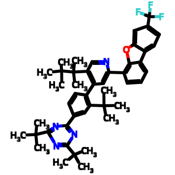 CC(C)(C)c1nc(-c2ccc(-c3cc(-c4cccc5c4oc4cc(C(F)(F)F)ccc45)ncc3C(C)(C)C(C)(C)C)c(C(C)(C)C)c2)nc(C(C)(C)C)n1